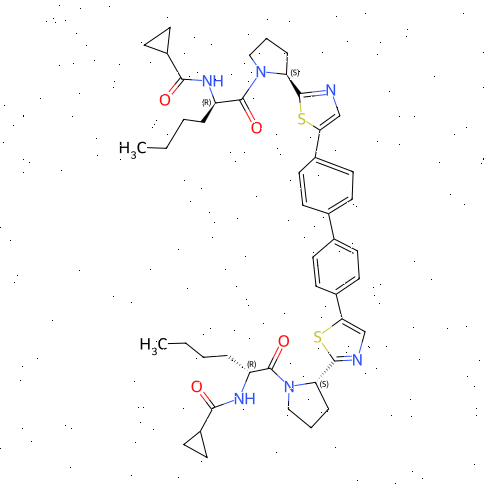 CCCC[C@@H](NC(=O)C1CC1)C(=O)N1CCC[C@H]1c1ncc(-c2ccc(-c3ccc(-c4cnc([C@@H]5CCCN5C(=O)[C@@H](CCCC)NC(=O)C5CC5)s4)cc3)cc2)s1